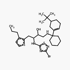 CCCc1ccsc1CC(Nc1nc(Br)ns1)C(O)CNC1(C2=CCCC(C(C)(C)C)C2)CCCCC1